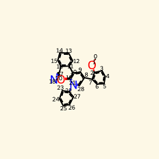 COc1ccccc1-c1cc(-c2ccccc2C#N)c(=O)n(-c2ccccc2)c1